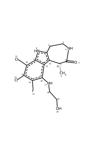 C[C@H]1C(=O)NCCc2[nH]c3c(Cl)c(Cl)c(F)c(NCCO)c3c21